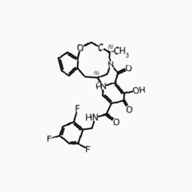 C[C@H]1CCOc2ccccc2C[C@H]2CN1C(=O)c1c(O)c(=O)c(C(=O)NCc3c(F)cc(F)cc3F)cn12